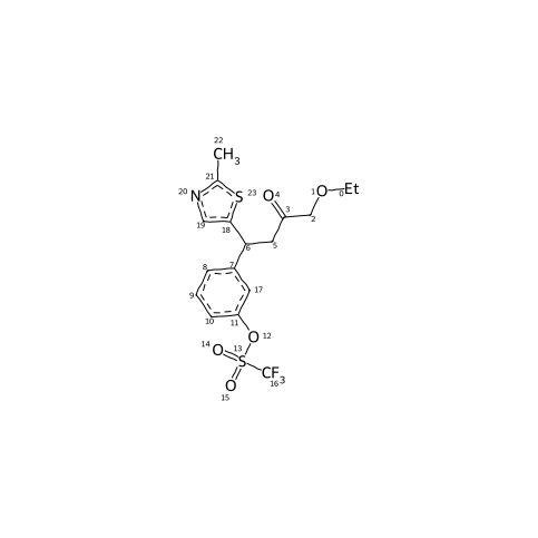 CCOCC(=O)CC(c1cccc(OS(=O)(=O)C(F)(F)F)c1)c1cnc(C)s1